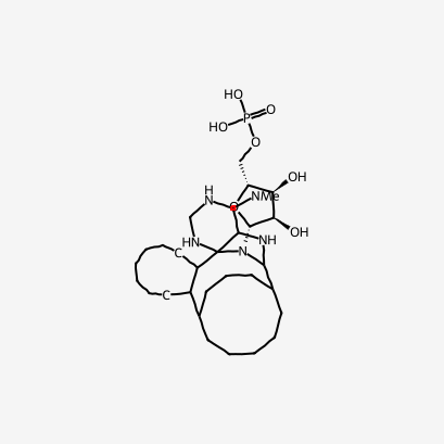 CNC1NCNC23C4CCCCCCCC4C4CCCCCC(CCC4)C(NC12)N3[C@@H]1O[C@H](COP(=O)(O)O)[C@@H](O)[C@H]1O